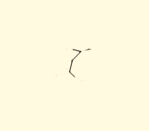 CCC[C@@H]1O[C@H]1[C@@H](C)O